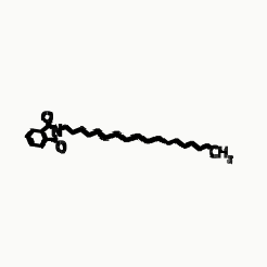 CCCCCCCCCCCCCCCCCCN1C(=O)C2CC=CCC2C1=O